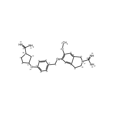 COc1cc2c(cc1OCc1ccc(OC3CCN(C(=N)N)C3)cc1)CCN(C(=N)N)C2